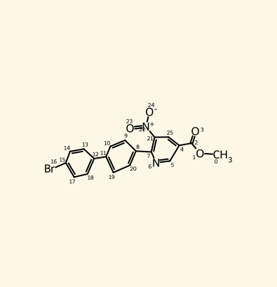 COC(=O)c1cnc(-c2ccc(-c3ccc(Br)cc3)cc2)c([N+](=O)[O-])c1